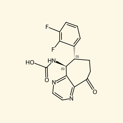 O=C(O)N[C@@H]1c2nccnc2C(=O)CC[C@H]1c1cccc(F)c1F